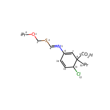 CC(C)OCS/C=N/C1=CC(C(=O)O)(C(C)C)C(Cl)C=C1